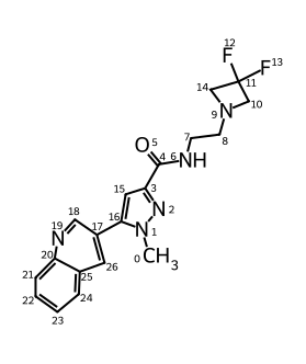 Cn1nc(C(=O)NCCN2CC(F)(F)C2)cc1-c1cnc2ccccc2c1